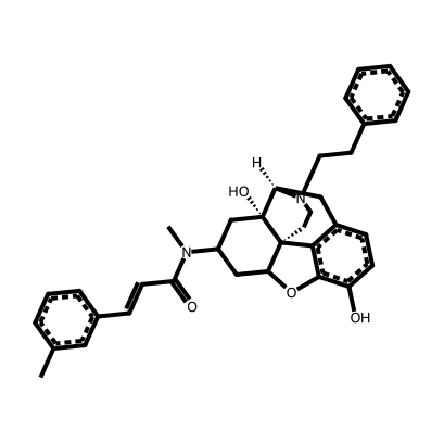 Cc1cccc(/C=C/C(=O)N(C)C2CC3Oc4c(O)ccc5c4[C@@]34CCN(CCc3ccccc3)[C@H](C5)[C@]4(O)C2)c1